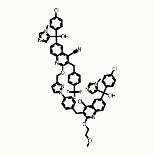 COCCOc1nc2ccc(C(O)(c3ccc(Cl)cc3)c3cncn3C)cc2c(Cl)c1Cc1ccc(-n2ccc(COc3nc4ccc(C(O)(c5ccc(Cl)cc5)c5cncn5C)cc4c(C#N)c3Cc3ccc(C(F)(F)F)cc3)n2)cc1